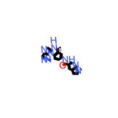 C[C@H](Nc1cnc2cnn(C)c2n1)c1cccc(NC(=O)c2cnc3c(ccn3C)c2)c1